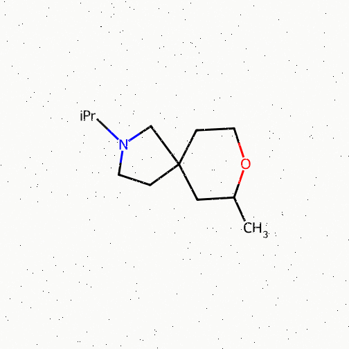 CC1CC2(CCO1)CCN(C(C)C)C2